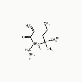 C=CC(=O)NC.CCC[N+](C)(C)C.I.N.[I-]